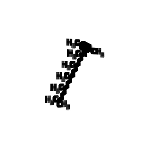 CC(C)=CCC/C(C)=C/CC/C(C)=C/CC/C(C)=C/CC/C(C)=N/C12CC3CC(C)(CC(C)(C3)C1)C2